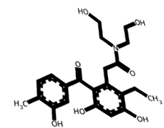 CCc1c(O)cc(O)c(C(=O)c2ccc(C)c(O)c2)c1CC(=O)N(CCO)CCO